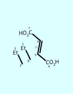 CCC.CCC.O=C(O)/C=C/C(=O)O